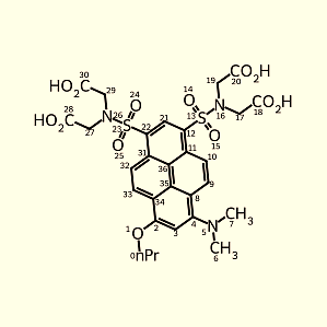 CCCOc1cc(N(C)C)c2ccc3c(S(=O)(=O)N(CC(=O)O)CC(=O)O)cc(S(=O)(=O)N(CC(=O)O)CC(=O)O)c4ccc1c2c43